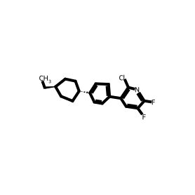 CC[C@H]1CC[C@H](c2ccc(-c3cc(F)c(F)nc3Cl)cc2)CC1